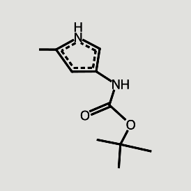 Cc1cc(NC(=O)OC(C)(C)C)c[nH]1